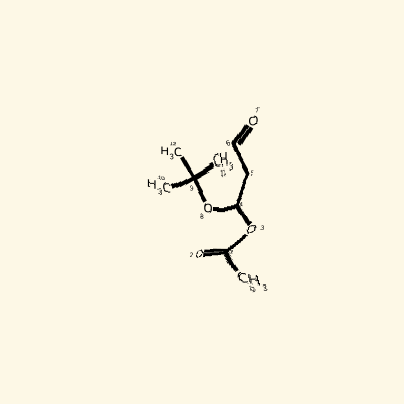 CC(=O)OC(CC=O)OC(C)(C)C